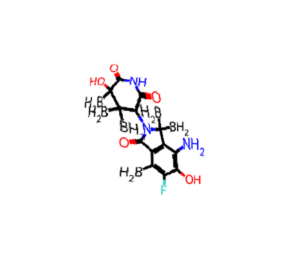 Bc1c(F)c(O)c(N)c2c1C(=O)N(C1C(=O)NC(=O)C(B)(O)C1(B)B)C2(B)B